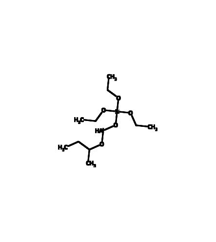 CCO[Si](OCC)(OCC)[O][AlH][O]C(C)CC